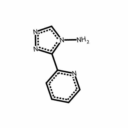 Nn1cnnc1-c1ccccn1